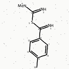 CNC(=N)SC(=N)c1ccc(C)cc1